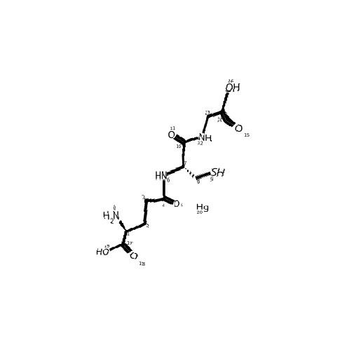 N[C@@H](CCC(=O)N[C@@H](CS)C(=O)NCC(=O)O)C(=O)O.[Hg]